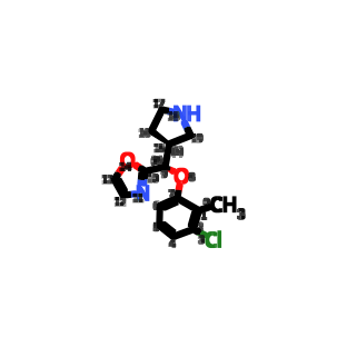 Cc1c(Cl)cccc1O[C@@H](c1ncco1)[C@H]1CCNC1